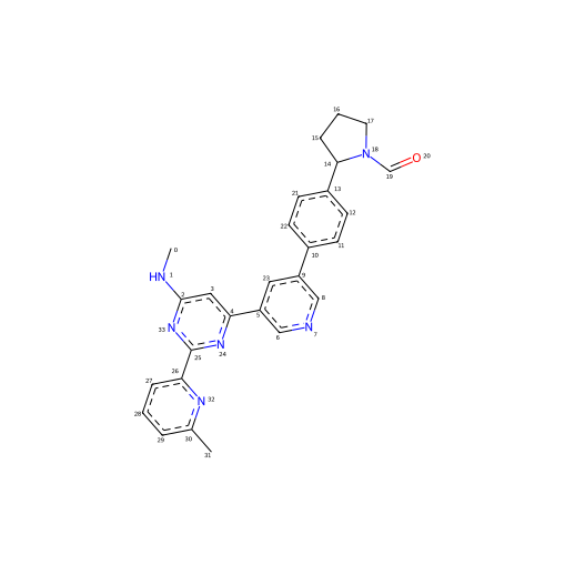 CNc1cc(-c2cncc(-c3ccc(C4CCCN4C=O)cc3)c2)nc(-c2cccc(C)n2)n1